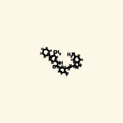 Cc1cc(NC(=O)c2ccc(F)c(C#Cc3nnc4ccc(N)cn34)c2)cnc1N1CCCCC1